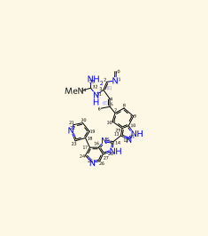 C=N/C=C(\C=C(/C)c1ccc2[nH]nc(-c3nc4c(-c5cccnc5)cncc4[nH]3)c2c1)NC(N)NC